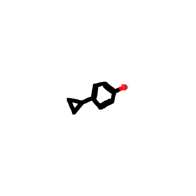 [O]c1ccc(C2CC2)cc1